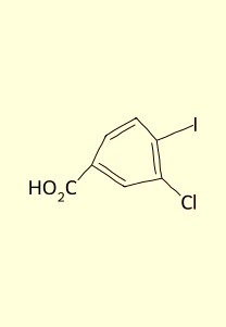 O=C(O)c1ccc(I)c(Cl)c1